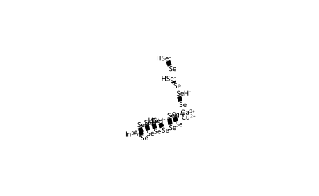 [Ag+].[Cu+2].[Ga+3].[In+3].[Se]=[SeH-].[Se]=[SeH-].[Se]=[SeH-].[Se]=[SeH-].[Se]=[SeH-].[Se]=[SeH-].[Se]=[SeH-].[Se]=[SeH-].[Se]=[SeH-]